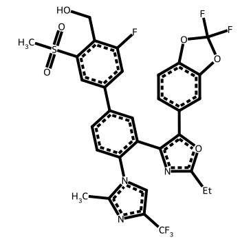 CCc1nc(-c2cc(-c3cc(F)c(CO)c(S(C)(=O)=O)c3)ccc2-n2cc(C(F)(F)F)nc2C)c(-c2ccc3c(c2)OC(F)(F)O3)o1